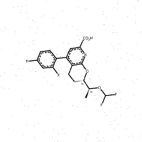 C[C@H](OC(F)F)[C@@H]1CCc2c(-c3ccc(F)cc3F)cc(C(=O)O)nc2O1